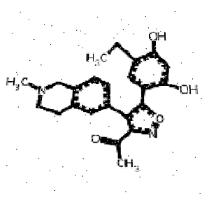 CCc1cc(-c2onc(C(C)=O)c2-c2ccc3c(c2)CCN(C)C3)c(O)cc1O